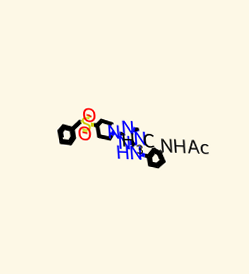 CC(=O)Nc1cccc(Nc2ncnc(N3CCC(S(=O)(=O)Cc4ccccc4)CC3)n2)c1C